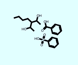 CCCCC(C(C)O)C(C)O.O=C(O)c1ccccc1.O=S(=O)(O)c1ccccc1